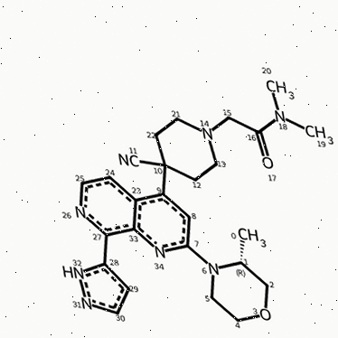 C[C@@H]1COCCN1c1cc(C2(C#N)CCN(CC(=O)N(C)C)CC2)c2ccnc(-c3ccn[nH]3)c2n1